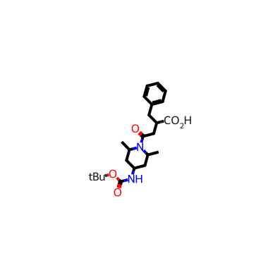 CC1CC(NC(=O)OC(C)(C)C)CC(C)N1C(=O)CC(Cc1ccccc1)C(=O)O